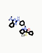 CCSC(C(=O)NC[C@H]1CC[C@@H](Nc2nc(N(C)C)c3ccccc3n2)CC1)(c1ccccc1)c1ccccc1